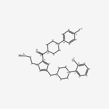 COCCn1cc(CN2CCN(c3ccccc3Cl)CC2)cc1C(=O)N1CCN(c2ccc(F)cc2)CC1